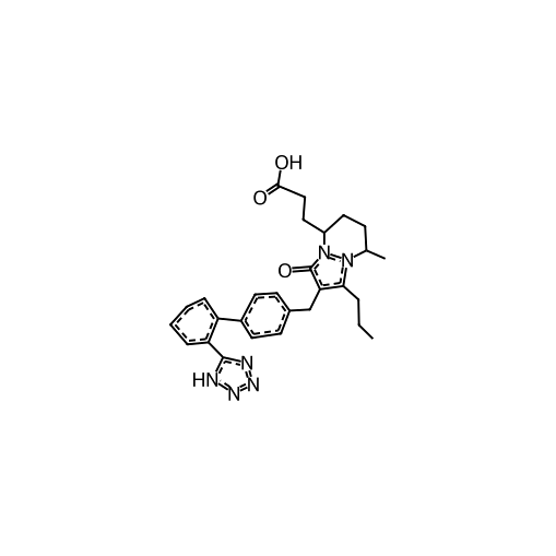 CCCc1c(Cc2ccc(-c3ccccc3-c3nnn[nH]3)cc2)c(=O)n2n1C(C)CCC2CCC(=O)O